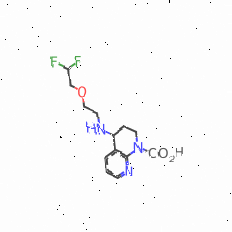 O=C(O)N1CCC(NCCOCC(F)F)c2cccnc21